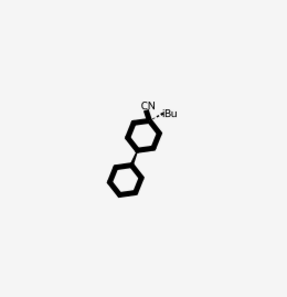 CCC(C)[C@]1(C#N)CC[C@@H](C2CCCCC2)CC1